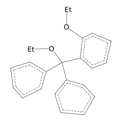 CCOc1ccccc1C(OCC)(c1ccccc1)c1ccccc1